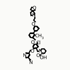 Cc1c(COc2cc(OCc3cncc(C#N)c3)c(CN3CCCC[C@H]3C(=O)O)cc2Cl)cccc1-c1cccc(OCCCN2CCC3(CCOC3)C2)c1